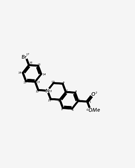 COC(=O)c1ccc2c(c1)CCN(Cc1ccc(Br)cc1)C2